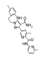 Cc1ccc2c(c1)CCn1nc(-c3cnc(C(=O)Nc4cccc(C)n4)c(C)c3)c(C(N)=O)c1N2